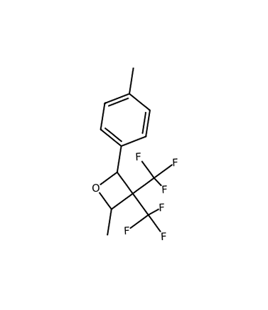 Cc1ccc(C2OC(C)C2(C(F)(F)F)C(F)(F)F)cc1